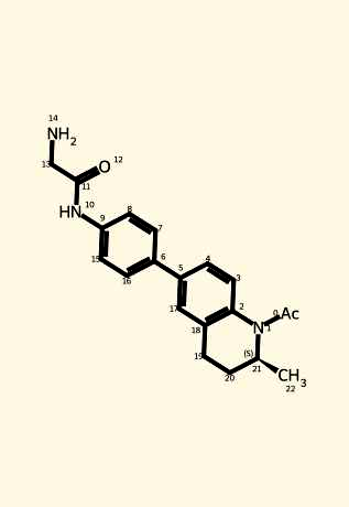 CC(=O)N1c2ccc(-c3ccc(NC(=O)CN)cc3)cc2CC[C@@H]1C